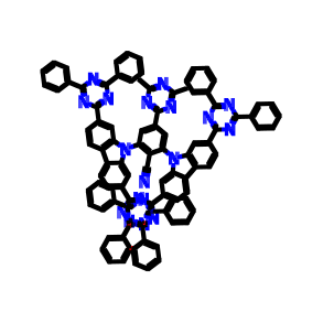 Cc1nc(C)nc(-c2cc(-n3c4cc(-c5nc(-c6ccccc6)nc(-c6ccccc6)n5)ccc4c4ccc(-c5nc(-c6ccccc6)nc(-c6ccccc6)n5)cc43)c(C#N)c(-n3c4cc(-c5nc(-c6ccccc6)nc(-c6ccccc6)n5)ccc4c4ccc(-c5nc(-c6ccccc6)nc(-c6ccccc6)n5)cc43)c2)n1